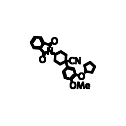 COc1ccc(C2(C#N)CCC(N3C(=O)c4ccccc4C3=O)CC2)cc1OC1CCCC1